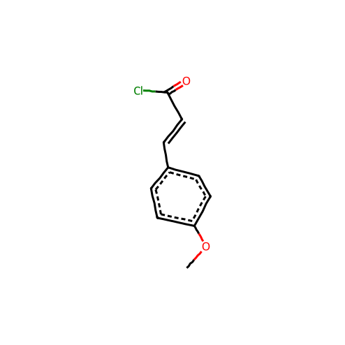 COc1ccc(C=CC(=O)Cl)cc1